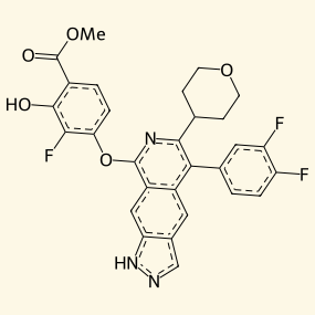 COC(=O)c1ccc(Oc2nc(C3CCOCC3)c(-c3ccc(F)c(F)c3)c3cc4cn[nH]c4cc23)c(F)c1O